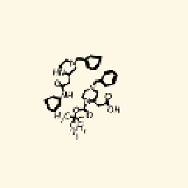 CC(C)(C)OC(=O)N1CCN(Cc2ccccc2)C[C@H]1CC(=O)O.O=C(C[C@@H]1CN(Cc2ccccc2)CCN1)Nc1ccccc1